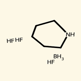 B.C1CCNCC1.F.F.F